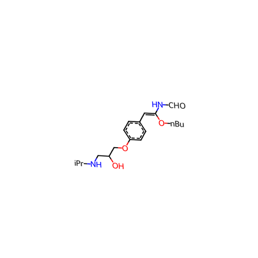 CCCCOC(=Cc1ccc(OCC(O)CNC(C)C)cc1)NC=O